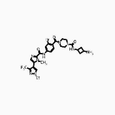 CCn1cc(-c2cnc(C(=O)Nc3ccc(C(=O)N4CCN(C(=O)NC5CC(N)C5)CC4)c(Br)c3)n2C)c(C(F)(F)F)n1